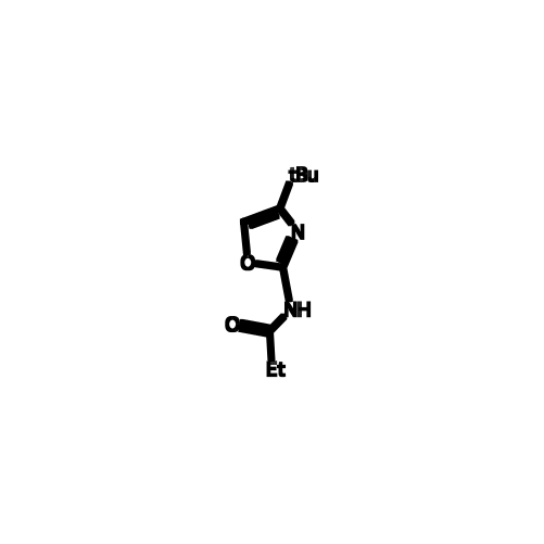 CCC(=O)Nc1nc(C(C)(C)C)co1